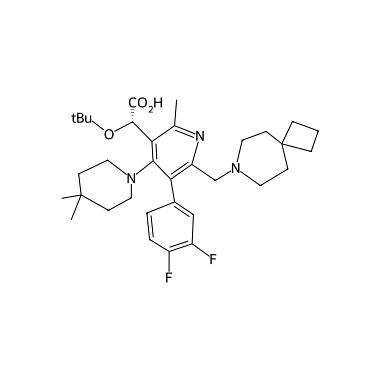 Cc1nc(CN2CCC3(CCC3)CC2)c(-c2ccc(F)c(F)c2)c(N2CCC(C)(C)CC2)c1[C@H](OC(C)(C)C)C(=O)O